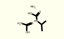 CC(C)NC(O)=S.N.NC(O)=S